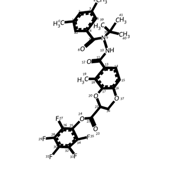 Cc1cc(C)cc(C(=O)N(NC(=O)c2ccc3c(c2C)OC(C(=O)Oc2c(F)c(F)c(F)c(F)c2F)CO3)C(C)(C)C)c1